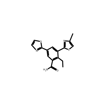 CCc1c(C(N)=O)cc(-c2ncco2)cc1-c1nc(C)cs1